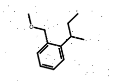 CCC(C)c1ccccc1COC